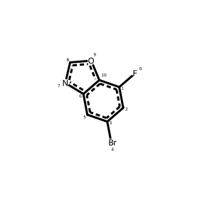 Fc1cc(Br)cc2ncoc12